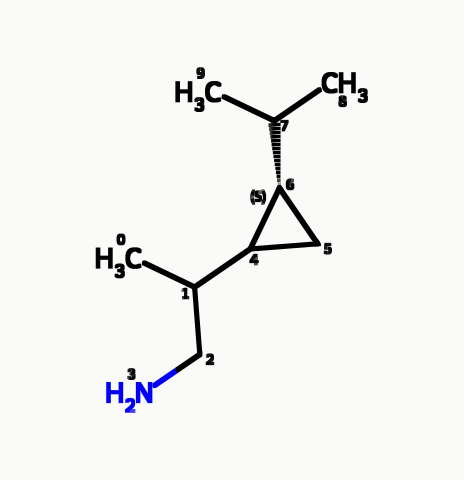 CC(CN)C1C[C@H]1C(C)C